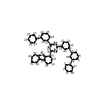 c1ccc(-c2cccc(-c3cccc(-c4nc(-c5cccc(-c6ccccc6)c5)nc(-c5cccc6c5sc5ccccc56)n4)c3)c2)cc1